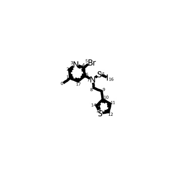 Cc1cnc(Br)c(N(CCc2ccsc2)SI)c1